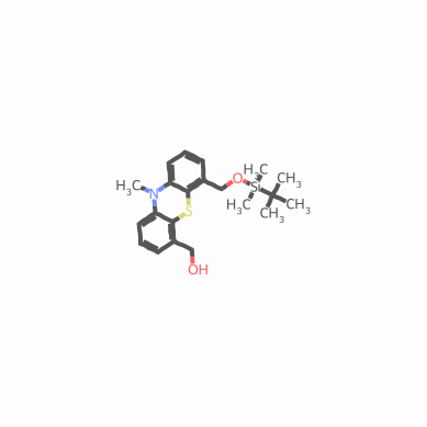 CN1c2cccc(CO)c2Sc2c(CO[Si](C)(C)C(C)(C)C)cccc21